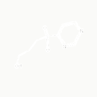 O=S(=O)(CCCO)c1ccncn1